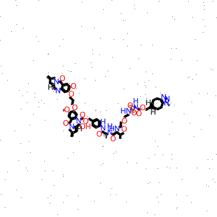 C=C1C[C@H]2C=Nc3cc(OCCCOc4cc5c(cc4OC)C(=O)N4CC(=C)C[C@H]4[C@H](O)N5C(=O)OCc4ccc(NC(=O)[C@H](C)NC(=O)[C@@H](NC(=O)COCCNS(=O)(=O)NC(=O)OCC5[C@H]6CCc7c(nnn7C)CC[C@@H]56)C(C)C)cc4)c(OC)cc3C(=O)N2C1